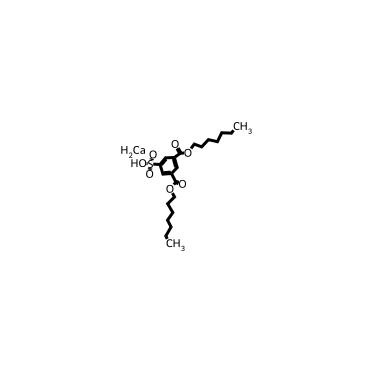 CCCCCCCOC(=O)c1cc(C(=O)OCCCCCCC)cc(S(=O)(=O)O)c1.[CaH2]